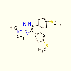 CSc1ccc(-c2nnc(N(C)C)nc2-c2ccc(SC)cc2)cc1